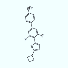 CCCc1ccc(-c2cc(F)c(-c3ccc(C4CCC4)s3)c(F)c2)cc1